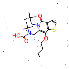 CCCCOc1c(CN(C(=O)O)C(C)(C)C)n(CC(C)(C)C)c(=O)c2ccsc12